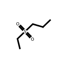 C[CH]CS(=O)(=O)CC